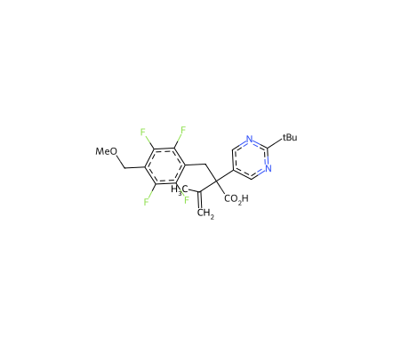 C=C(C)C(Cc1c(F)c(F)c(COC)c(F)c1F)(C(=O)O)c1cnc(C(C)(C)C)nc1